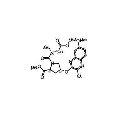 CCc1nc2ccc(OC)cc2nc1O[C@@H]1C[C@@H](C(=O)OC)N(C(=O)[C@@H](NC(=O)OC(C)(C)C)C(C)(C)C)C1